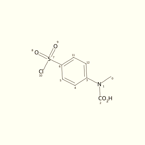 CN(C(=O)O)c1ccc(S(=O)(=O)Cl)cc1